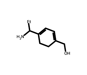 CCC(N)C1=CC=C(CO)CC1